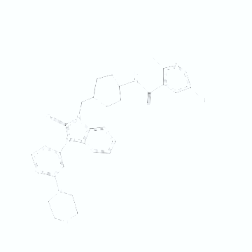 Cc1ncc(Cl)cc1C(=O)NC1CCC(Cn2c(=O)n(-c3ccnc(N4CCOCC4)c3)c3ccccc32)CC1